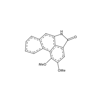 COc1cc2c3c(cc4ccccc4c3c1OC)NC2=O